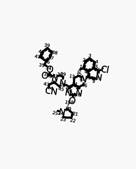 Cc1cccc2c(Cl)ncc(N3CCc4c(nc(OC[C@@H]5CCCN5C)nc4N4CCN(C(=O)OCc5ccccc5)C(CC#N)C4)C3)c12